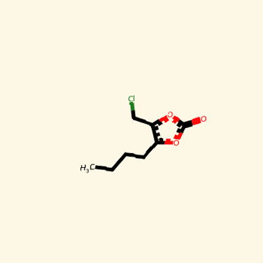 CCCCc1oc(=O)oc1CCl